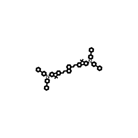 CC1(C)c2cc(/C=C/c3cccc4c(/C=C/c5ccc6c(c5)C(C)(C)c5cc(N(c7ccc(-c8ccccc8)cc7)c7ccc(-c8ccccc8)cc7)ccc5-6)cccc34)ccc2-c2ccc(N(c3ccc(-c4ccccc4)cc3)c3ccc(-c4ccccc4)cc3)cc21